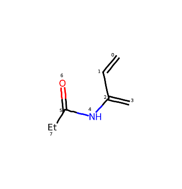 C=CC(=C)NC(=O)CC